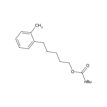 CCCCC(=O)OCCCCCc1ccccc1C